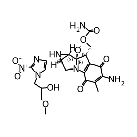 COCC(O)Cn1ccnc1[N+](=O)[O-].CO[C@@]12[C@H](COC(N)=O)C3=C(C(=O)C(C)=C(N)C3=O)N1C[C@@H]1N[C@@H]12